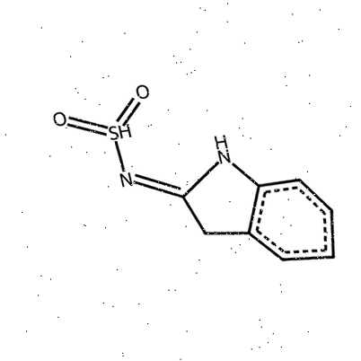 O=[SH](=O)N=C1Cc2ccccc2N1